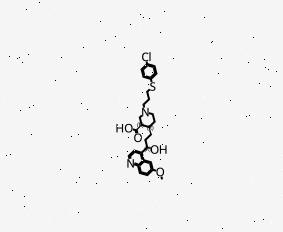 COc1ccc2nccc([C@H](O)CC[C@@H]3CCN(CCCSc4ccc(Cl)cc4)C[C@@H]3C(=O)O)c2c1